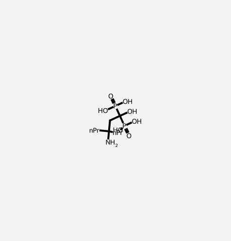 CCCC(N)(CCC)CC(O)(P(=O)(O)O)P(=O)(O)O